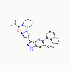 COc1cc2[nH]nc(-c3cnn(C4CCCCN4C(=O)N(C)C)c3)c2nc1-c1cccc2c1CCC2